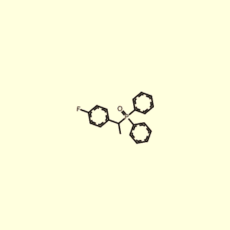 CC(c1ccc(F)cc1)P(=O)(c1ccccc1)c1ccccc1